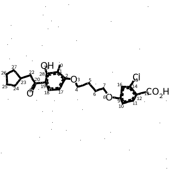 Cc1c(OCCCCOc2ccc(C(=O)O)c(Cl)c2)ccc(C(=O)CC2CCCC2)c1O